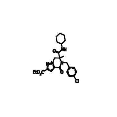 CCOC(=O)c1cc2n(n1)CC(C)(C(=O)NC1CCCCC1)N(Cc1ccc(Cl)cc1)C2=O